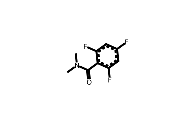 CN(C)C(=O)c1c(F)cc(F)cc1F